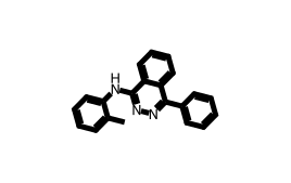 Cc1ccccc1Nc1nnc(-c2ccccc2)c2ccccc12